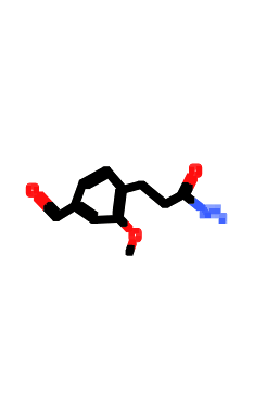 COc1cc(C=O)ccc1CCC(N)=O